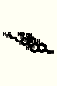 C=CCC[C@H]1C[C@H]2[C@@H]3CCc4cc(O)ccc4[C@H]3CC[C@]2(C)[C@H]1O